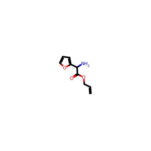 C=CCOC(=O)C(N)c1ccco1